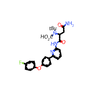 CC(C)(C)N(C(=O)O)C(CC(N)=O)C(=O)Nc1cccc(-c2ccc(Oc3ccc(F)cc3)cc2)n1